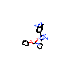 O=C(COc1ccccc1)N1CCCC[C@@H]1c1nc(-c2ccc3[nH]ncc3c2)n[nH]1